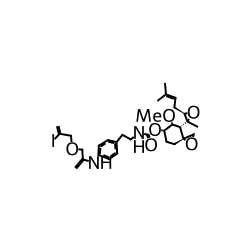 C=C(I)COCC(=C)Nc1ccc(CCNC(=O)O[C@@H]2CC[C@]3(CO3)[C@@H](C3(C)O[C@@H]3CC=C(C)C)[C@@H]2OC)cc1